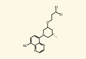 CCN(CC)CCOC1C[C@H](C)CN(c2ccc(C#N)c3nccnc23)C1